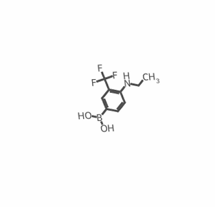 CCNc1ccc(B(O)O)cc1C(F)(F)F